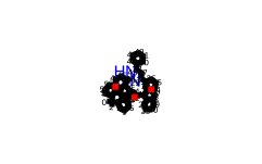 CC1(C)c2ccccc2C2(c3ccc(-c4cccc5ccccc45)cc3-c3c(C4=NC(c5ccccc5)=CC(c5ccccc5)N4)cccc32)c2ccccc21